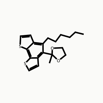 CCCCCCc1c(C2(C)OCCO2)c2ccsc2c2sccc12